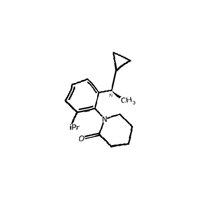 CC(C)c1cccc([C@H](C)C2CC2)c1N1CCCCC1=O